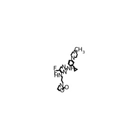 CN1CCN(c2ccc(Nc3ncc(C(F)F)c(NCCCN4CC=COC4=O)n3)c(C3CC3)c2)CC1